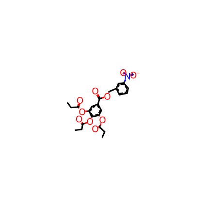 CCC(=O)Oc1cc(C(=O)OCc2cccc([N+](=O)[O-])c2)cc(OC(=O)CC)c1OC(=O)CC